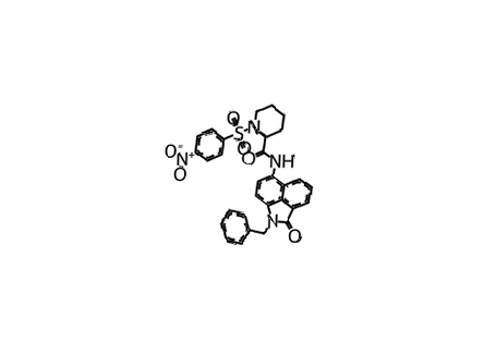 O=C(Nc1ccc2c3c(cccc13)C(=O)N2Cc1ccccc1)C1CCCCN1S(=O)(=O)c1ccc([N+](=O)[O-])cc1